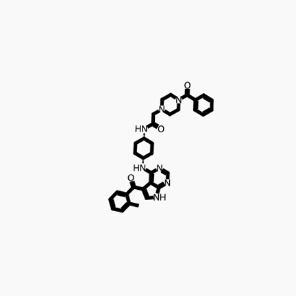 Cc1ccccc1C(=O)c1c[nH]c2ncnc(N[C@H]3CC[C@@H](NC(=O)CN4CCN(C(=O)c5ccccc5)CC4)CC3)c12